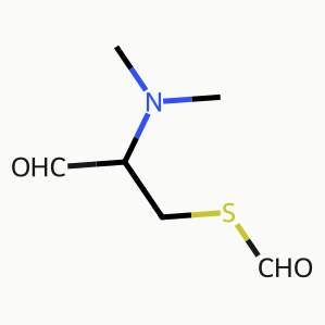 CN(C)C(C=O)CSC=O